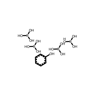 OB(O)O.OB(O)O.OB(O)O.OB(O)O.Oc1ccccc1